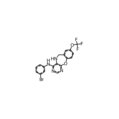 FC(F)(F)Oc1ccc2c(c1)CNc1c(Nc3cccc(Br)c3)ncnc1O2